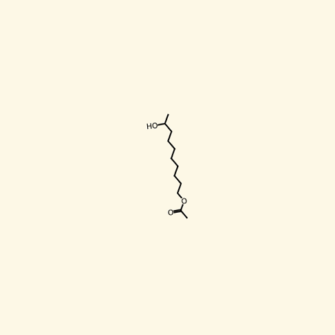 CC(=O)OCCCCCCCCC(C)O